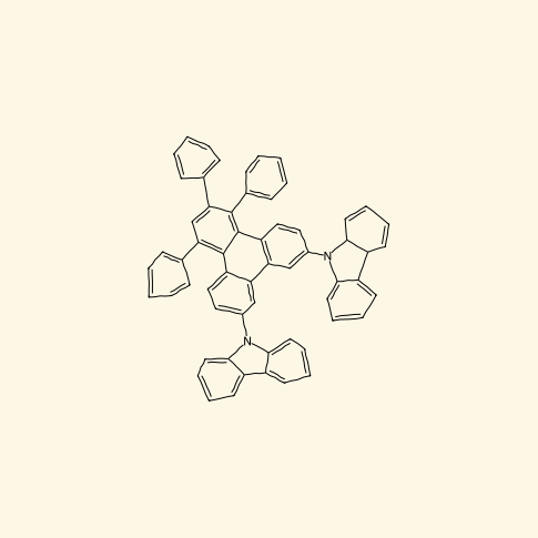 C1=CC2c3ccccc3N(c3ccc4c(c3)c3cc(-n5c6ccccc6c6ccccc65)ccc3c3c(-c5ccccc5)cc(-c5ccccc5)c(-c5ccccc5)c43)C2C=C1